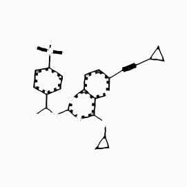 CC(Nc1nc(OC2CC2)c2nc(C#CC3CC3)ccc2n1)c1ccc(S(N)(=O)=O)cc1